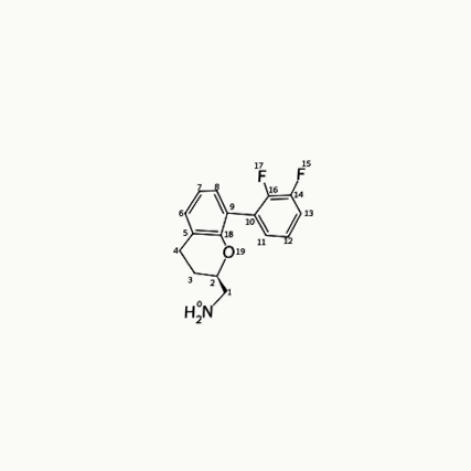 NC[C@H]1CCc2cccc(-c3cccc(F)c3F)c2O1